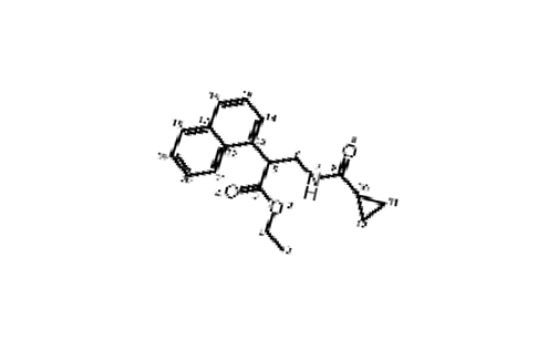 CCOC(=O)C(CNC(=O)C1CC1)c1cccc2ccccc12